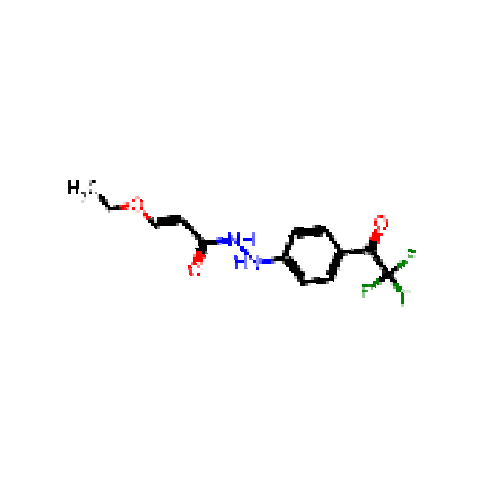 CCOC=CC(=O)NNc1ccc(C(=O)C(F)(F)F)cc1